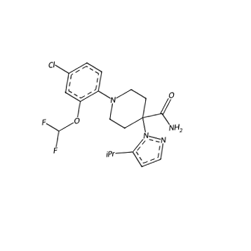 CC(C)c1ccnn1C1(C(N)=O)CCN(c2ccc(Cl)cc2OC(F)F)CC1